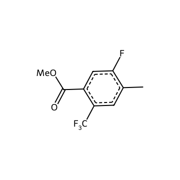 COC(=O)c1cc(F)c(C)cc1C(F)(F)F